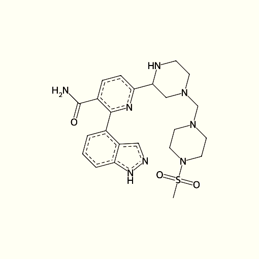 CS(=O)(=O)N1CCN(CN2CCNC(c3ccc(C(N)=O)c(-c4cccc5[nH]ncc45)n3)C2)CC1